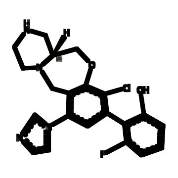 Oc1cccc(F)c1-c1cc(-n2ccnc2)c2c(c1Cl)OC[C@H]1CNCCN1C2